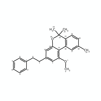 COc1cc(CCc2ccccc2)cc2c1-c1cc(C)ccc1C(C)(C)O2